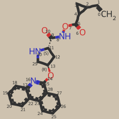 C=CC1CC1C(=O)ONC(=O)[C@@H]1C[C@@H](Oc2nc3ccccc3c3ccccc23)CN1